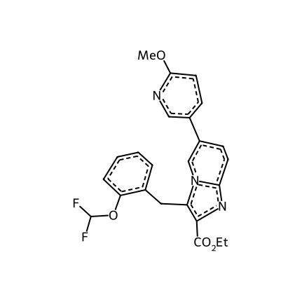 CCOC(=O)c1nc2ccc(-c3ccc(OC)nc3)cn2c1Cc1ccccc1OC(F)F